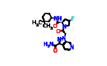 CC1(C)CCCC(NC(=O)[C@@H]2C[C@@H](F)CN2C(=O)Cn2nc(C(N)=O)c3ccncc32)C1